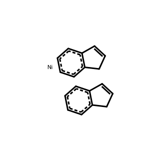 C1=Cc2ccccc2C1.C1=Cc2ccccc2C1.[Ni]